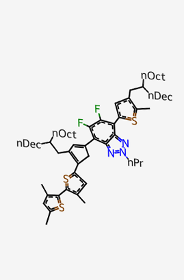 CCCCCCCCCCC(CCCCCCCC)CC1=C(c2cc(C)c(-c3sc(C)cc3C)s2)CC(c2c(F)c(F)c(-c3cc(CC(CCCCCCCC)CCCCCCCCCC)c(C)s3)c3nn(CCC)nc23)=C1